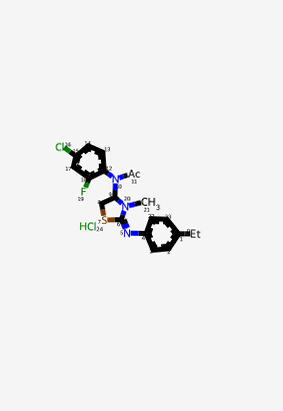 CCc1ccc(N=C2SCC(N(C(C)=O)c3ccc(Cl)cc3F)N2C)cc1.Cl